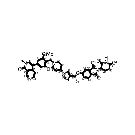 COc1cc(-c2cn(C)c(=O)c3cnccc23)cc(OC)c1CN1CCC(n2cc([C@@H](C)Oc3ccc4c(c3)C(=O)N(C3CCC(=O)NC3=O)C4=O)nn2)CC1